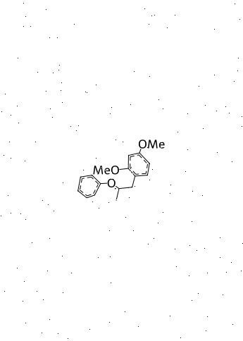 COc1ccc(C[C](C)Oc2ccccc2)c(OC)c1